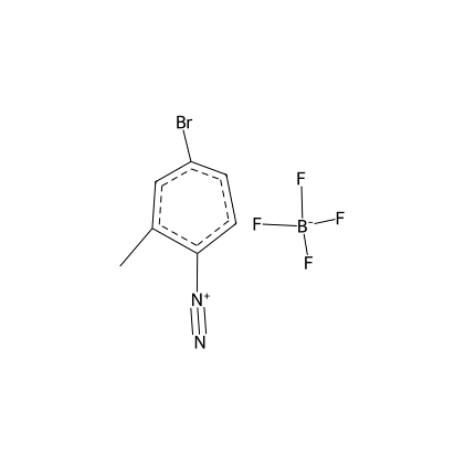 Cc1cc(Br)ccc1[N+]#N.F[B-](F)(F)F